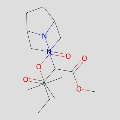 CCC(=O)C(C(=O)OC)N1CC2CCC(C1)N2C(=O)OC(C)(C)C